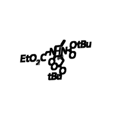 C=CCN(CC(=O)OCC)C(=O)[C@H](CC(=O)OC(C)(C)C)NC(=O)OC(C)(C)C